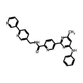 Cc1cc(Nc2ccccc2)nc(-c2ccc(C(=O)NCc3ccc(-c4cccnc4)nc3)nc2)n1